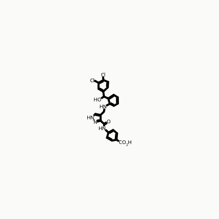 O=C(O)c1ccc(NC(=O)c2n[nH]cc2CNc2ccccc2C(O)c2ccc(Cl)c(Cl)c2)cc1